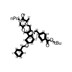 CCCN1CC(=O)N(Cc2c(C)c3cc(OCc4ccccc4)ccc3n2Cc2ccc(C(=O)OC(C)(C)C)cc2)C(C)C1=O